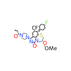 C=CC(=O)N1CCN(c2nc(=O)n3c4c(c(-c5ccc(F)cc5)c(C(F)(F)F)cc24)SCC(OCOC)C3)CC1